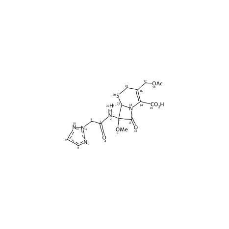 COC1(NC(=O)Cn2nccn2)C(=O)N2C(C(=O)O)=C(COC(C)=O)CS[C@@H]21